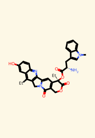 CCc1c2c(nc3ccc(O)cc13)-c1cc3c(c(=O)n1C2)COC(=O)[C@]3(CC)OC(=O)[C@@H](N)Cc1cn(C)c2ccccc12